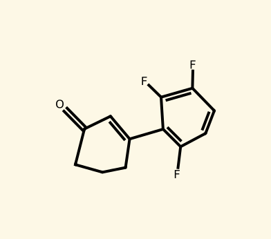 O=C1C=C(c2c(F)ccc(F)c2F)CCC1